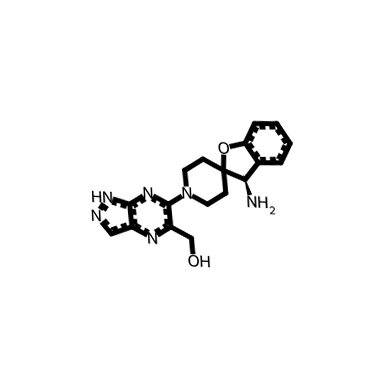 N[C@@H]1c2ccccc2OC12CCN(c1nc3[nH]ncc3nc1CO)CC2